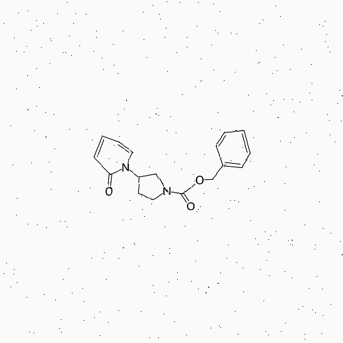 O=C(OCc1ccccc1)N1CCC(n2ccccc2=O)C1